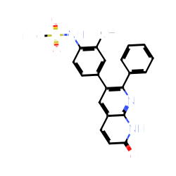 Cc1cc(-c2cc3ccc(=O)[nH]c3nc2-c2ccccc2)ccc1NS(C)(=O)=O